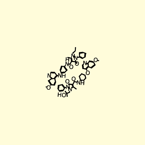 CCCn1c(C)c(C(=O)Nc2ccc(Nc3ccnc4cc(OC)ccc34)cc2)c(=O)n1-c1ccccc1.COc1ccc2c(O[C@H]3CC[C@H](NC(=O)c4c(C)n(CC(C)(C)O)n(-c5ccccc5)c4=O)CC3)ccnc2c1